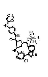 C=CC(=O)Nc1ccc(NC(=O)C2CC(Nc3ncc(Cl)c(-c4c[nH]c5ccccc45)n3)CN(C(=O)OC(C)(C)C)C2)cc1